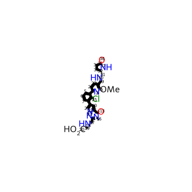 COc1nc(-c2cccc(-c3cc4c(=O)n(C)c(CNCC(=O)O)nn4c3)c2Cl)ccc1CNC[C@@H]1CCC(=O)N1